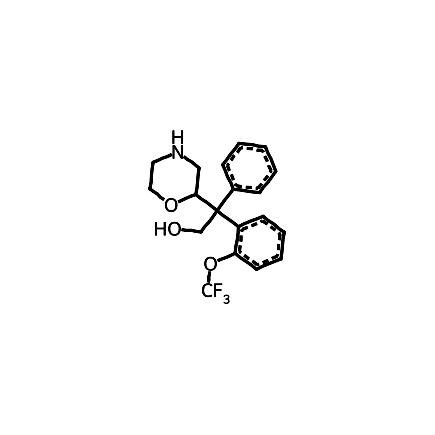 OCC(c1ccccc1)(c1ccccc1OC(F)(F)F)C1CNCCO1